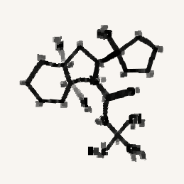 CC(C)(C)OC(=O)N1[C@H](C2(O)CCCC2)C[C@@H]2CCCC[C@@H]21